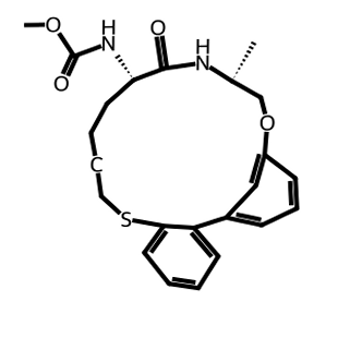 COC(=O)N[C@H]1CCCCSc2ccccc2-c2cccc(c2)OC[C@@H](C)NC1=O